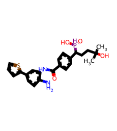 CC(C)(O)CCC(c1ccc(C(=O)Nc2cc(-c3cccs3)ccc2N)cc1)[PH](=O)O